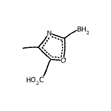 Bc1nc(C)c(C(=O)O)o1